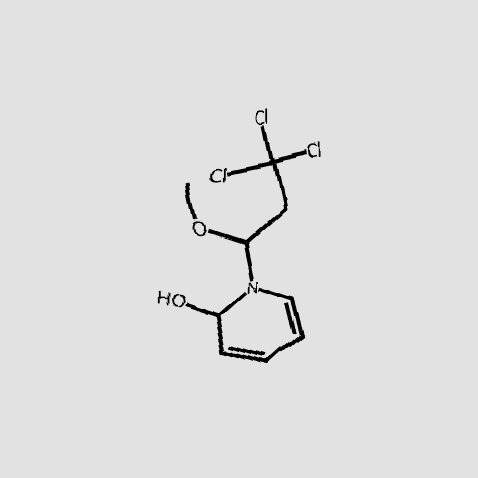 COC(CC(Cl)(Cl)Cl)N1C=CC=CC1O